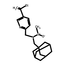 C=C(CC)c1ccc(CN(CC23CC4CC(CC(C4)C2)C3)[S+](C)[O-])nc1